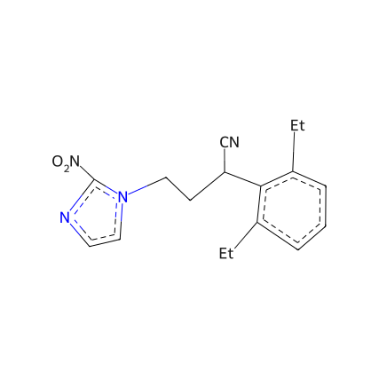 CCc1cccc(CC)c1C(C#N)CCn1ccnc1[N+](=O)[O-]